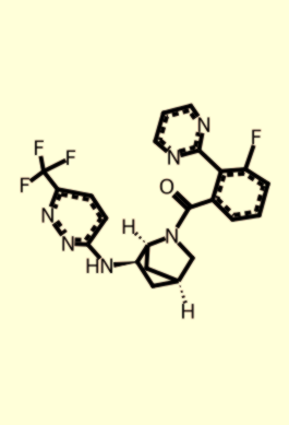 O=C(c1cccc(F)c1-c1ncccn1)N1C[C@H]2C[C@@H](Nc3ccc(C(F)(F)F)nn3)[C@@H]1C2